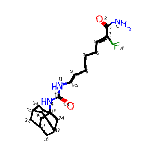 NC(=O)C(F)=CCCCCCNC(=O)NC12CC3CC(CC(C3)C1)C2